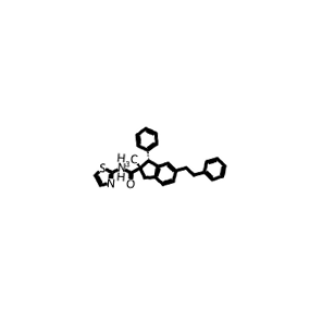 C[C@]1(C(=O)Nc2nccs2)Cc2ccc(CCc3ccccc3)cc2[C@H]1c1ccccc1